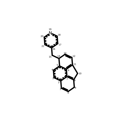 C1=Cc2ccc3c4c2=C(C1)CC=4C=CC3Cc1ccncc1